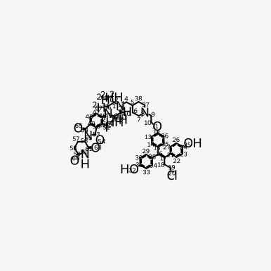 [2H]C1([2H])N(CC2CCN(CCOc3ccc(C(=C(CCCl)c4ccc(O)cc4)c4ccc(O)cc4)cc3)CC2)C([2H])([2H])C([2H])([2H])N(c2ccc3c(c2F)C(=O)N(C2CCC(=O)NC2=O)C3=O)C1([2H])[2H]